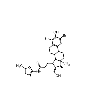 Cc1cnc(NC(=O)CCC2/C(=C/O)C(=O)C3(C)CCC4c5cc(Br)c(O)c(Br)c5CCC4C23)s1